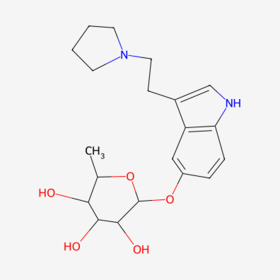 CC1OC(Oc2ccc3[nH]cc(CCN4CCCC4)c3c2)C(O)C(O)C1O